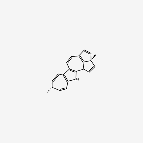 C[C@H]1C=CC2=C(C=C1)C1=C(B2)C2C=C[C@@]3(C)C=CC(=C23)C=C1